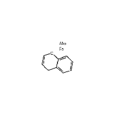 C1=COc2ccccc2C1.[Fe].[Mo]